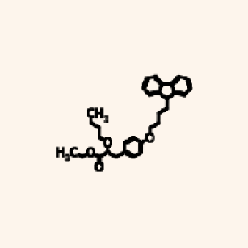 CCCCOC(Cc1ccc(OCCCCC2c3ccccc3-c3ccccc32)cc1)C(=O)OCC